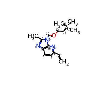 C=Cc1ccc2nc(C)n(COCC[Si](C)(C)C)c2n1